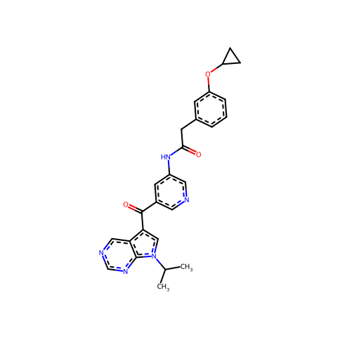 CC(C)n1cc(C(=O)c2cncc(NC(=O)Cc3cccc(OC4CC4)c3)c2)c2cncnc21